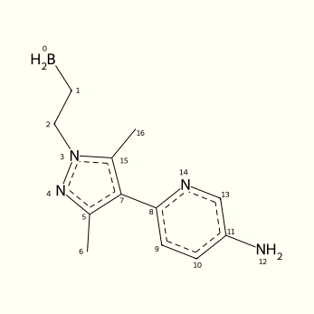 BCCn1nc(C)c(-c2ccc(N)cn2)c1C